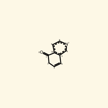 O=C1CC=Cc2cnccc21